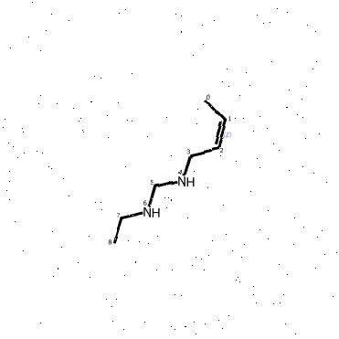 C/C=C\CNCNCC